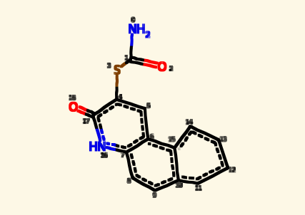 NC(=O)Sc1cc2c(ccc3ccccc32)[nH]c1=O